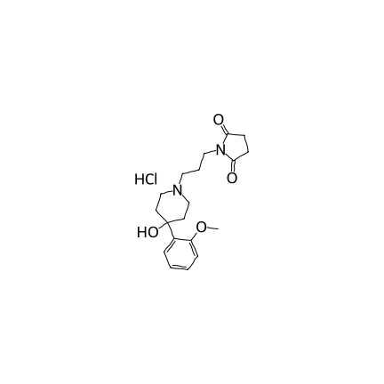 COc1ccccc1C1(O)CCN(CCCN2C(=O)CCC2=O)CC1.Cl